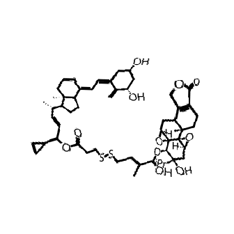 C=C1/C(=C\C=C2/CCC[C@@]3(C)C2CCC3[C@@H](C)/C=C/C(OC(=O)CCSSCCC(C)C(O)O[C@H]2[C@]34O[C@H]3CC3C5=C(CC[C@]3(C)[C@@]43O[C@H]3C[C@@]2(O)C(C)C)C(=O)OC5)C2CC2)C[C@@H](O)C[C@@H]1O